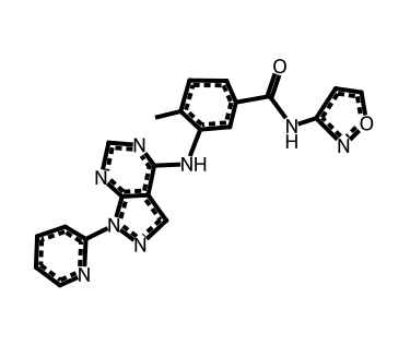 Cc1ccc(C(=O)Nc2ccon2)cc1Nc1ncnc2c1cnn2-c1ccccn1